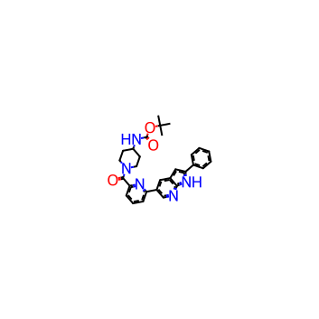 CC(C)(C)OC(=O)NC1CCN(C(=O)c2cccc(-c3cnc4[nH]c(-c5ccccc5)cc4c3)n2)CC1